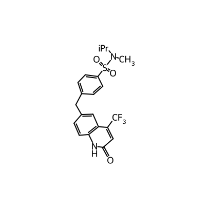 CC(C)N(C)S(=O)(=O)c1ccc(Cc2ccc3[nH]c(=O)cc(C(F)(F)F)c3c2)cc1